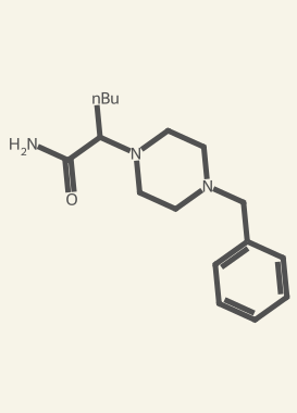 CCCCC(C(N)=O)N1CCN(Cc2ccccc2)CC1